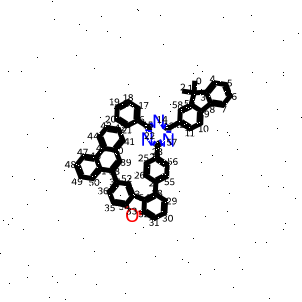 CC1(C)c2ccccc2-c2ccc(-c3nc(-c4ccccc4)nc(-c4ccc(-c5cccc6oc7ccc(-c8cc9ccccc9c9ccccc89)cc7c56)cc4)n3)cc21